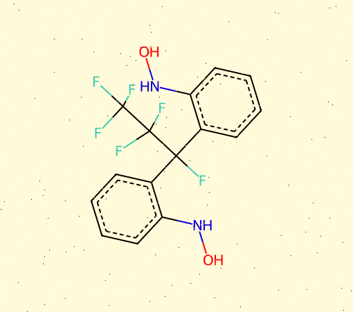 ONc1ccccc1C(F)(c1ccccc1NO)C(F)(F)C(F)(F)F